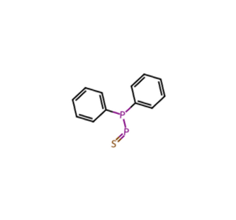 S=PP(c1ccccc1)c1ccccc1